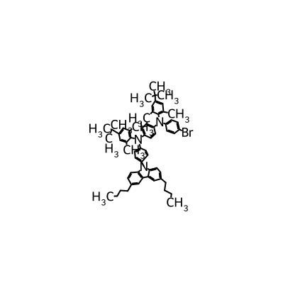 CCCCc1ccc2c(c1)c1cc(CCCC)ccc1n2-c1ccc(N(c2ccc(N(c3ccc(Br)cc3)c3c(C)cc(C(C)(C)C)cc3C)cc2)c2c(C)cc(C(C)(C)C)cc2C)cc1